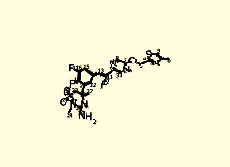 Cc1csc(COc2cnc(C(F)=Cc3cc(F)c(F)c(C4(C)CS(=O)(=O)N(C)C(N)=N4)c3)cn2)n1